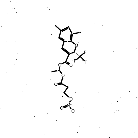 Cc1cc(C)c2c(c1)C=C(C(=O)OC(C)OC(=O)CCO[N+](=O)[O-])[C@@H](C(F)(F)F)O2